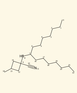 CCCCCCCC(BC1(C#N)CC(C)C1)CCCCCCC